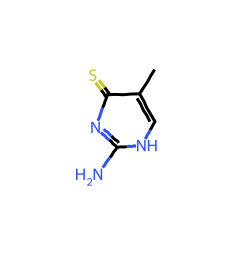 Cc1c[nH]c(N)nc1=S